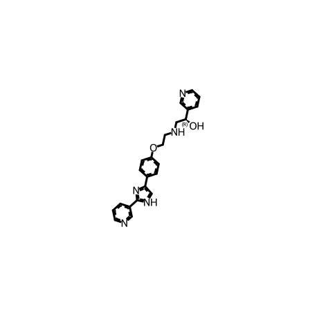 O[C@@H](CNCCOc1ccc(-c2c[nH]c(-c3cccnc3)n2)cc1)c1cccnc1